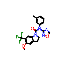 COc1cc2c(cc1C(F)(F)F)N(C(=O)N(c1cccc(C)c1)c1ncon1)CC2